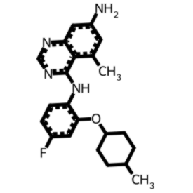 Cc1cc(N)cc2ncnc(Nc3ccc(F)cc3OC3CCC(C)CC3)c12